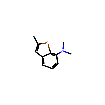 Cc1cc2cccc(N(C)C)c2s1